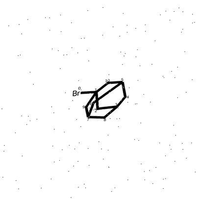 BrC12[CH]C3CC(CC(C3)C1)C2